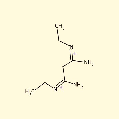 CC/N=C(/N)C/C(N)=N\CC